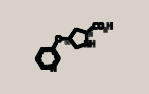 O=C(O)[C@@H]1C[C@H](Oc2cccnc2)CN1